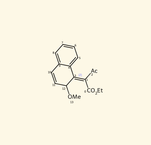 CCOC(=O)/C(C(C)=O)=C1/c2ccccc2C=CC1OC